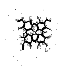 C=Cc1c(F)c(F)c([B-](c2c(F)c(F)c(F)c(F)c2F)(c2c(F)c(F)c(C=C)c(F)c2F)c2c(F)c(F)c(C=C)c(F)c2F)c(F)c1F.[Li+]